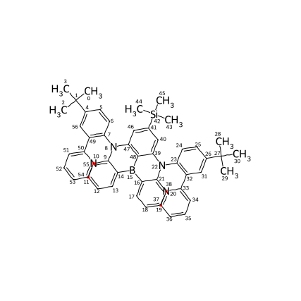 CC(C)(C)c1ccc(N2c3ccccc3B3c4ccccc4N(c4ccc(C(C)(C)C)cc4-c4ccccn4)c4cc([Si](C)(C)C)cc2c43)c(-c2ccccn2)c1